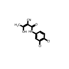 CC(O)=C(C#N)C(=O)Nc1ccc(Cl)c(Cl)c1